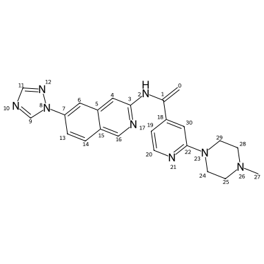 C=C(Nc1cc2cc(-n3cncn3)ccc2cn1)c1ccnc(N2CCN(C)CC2)c1